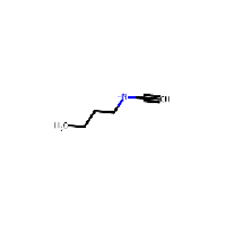 C#CNCCCC